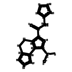 C[S+]([O-])c1sc(C(=O)Nc2ccsn2)c2c1-c1sncc1CC2